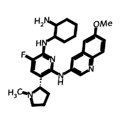 COc1ccc2ncc(Nc3nc(NC4CCCCC4N)c(F)cc3[C@@H]3CCCN3C)cc2c1